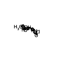 Cc1cccc(C(O)(C(=O)N2CCC(CC3CCN(c4ccc(C=O)c(Cl)n4)CC3)CC2)C(F)(F)F)c1